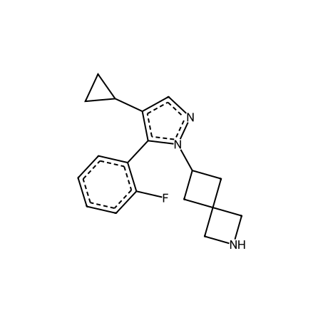 Fc1ccccc1-c1c(C2CC2)cnn1C1CC2(CNC2)C1